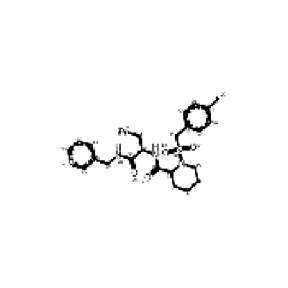 CC(C)CC(NC(=O)C1CCCCN1S(=O)(=O)Cc1ccc(F)cc1)C(=O)NCc1cccnc1